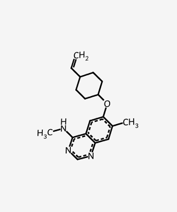 C=CC1CCC(Oc2cc3c(NC)ncnc3cc2C)CC1